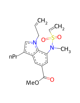 C=CCn1cc(CCC)c2cc(C(=O)OC)cc(N(C)S(=O)(=O)C=C)c21